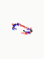 CC(C)(C)CC[C@H](NC(=O)c1ccc(Oc2cccc(C(=O)NCCOCCOCCOCCOCCOc3ncc(-c4ccc5c(n4)N(Cc4cccnc4C#N)C(C)(C)C5=O)cn3)c2)nc1)C(=O)O